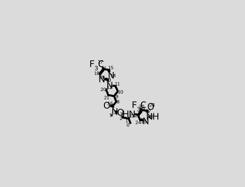 CC(CON(C)C(=O)CC1CCN(c2ncc(C(F)(F)F)cn2)CC1)Nc1cn[nH]c(=O)c1C(F)(F)F